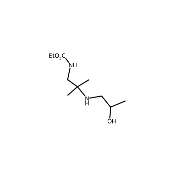 [CH2]C(O)CNC(C)(C)CNC(=O)OCC